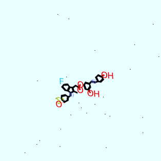 CC1=C(CC(=O)Oc2cc(O)cc(/C=C/c3ccc(O)cc3)c2)c2cc(F)ccc2/C1=C\c1ccc([S+](C)[O-])cc1